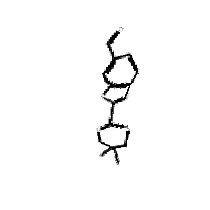 CC1(C)COC(c2cc3ccc(C=O)cc3s2)OC1